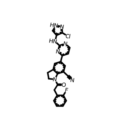 N#Cc1cc(-c2ccnc(Nc3c[nH]nc3Cl)n2)cc2c1N(C(=O)Cc1ccccc1F)CC2